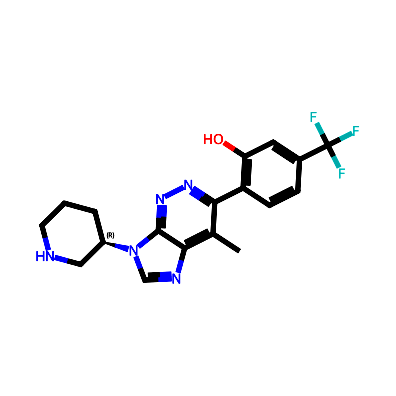 Cc1c(-c2ccc(C(F)(F)F)cc2O)nnc2c1ncn2[C@@H]1CCCNC1